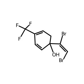 OC1(/C(Br)=C\Br)C=CC(C(F)(F)F)=CC1